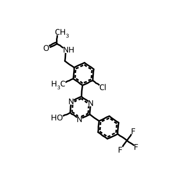 CC(=O)NCc1ccc(Cl)c(-c2nc(O)nc(-c3ccc(C(F)(F)F)cc3)n2)c1C